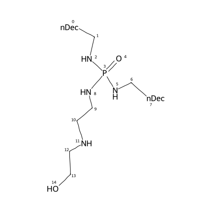 CCCCCCCCCCCNP(=O)(NCCCCCCCCCCC)NCCNCCO